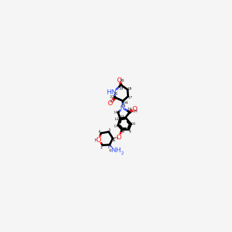 N[C@H]1COCC[C@@H]1Oc1ccc2c(c1)CN(C1CCC(=O)NC1=O)C2=O